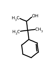 CC(O)C(C)(C)C1C=CCCC1